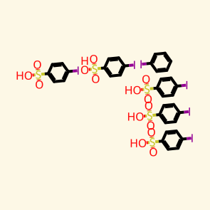 Ic1ccccc1.O=S(=O)(O)c1ccc(I)cc1.O=S(=O)(O)c1ccc(I)cc1.O=S(=O)(O)c1ccc(I)cc1.O=S(=O)(O)c1ccc(I)cc1.O=S(=O)(O)c1ccc(I)cc1